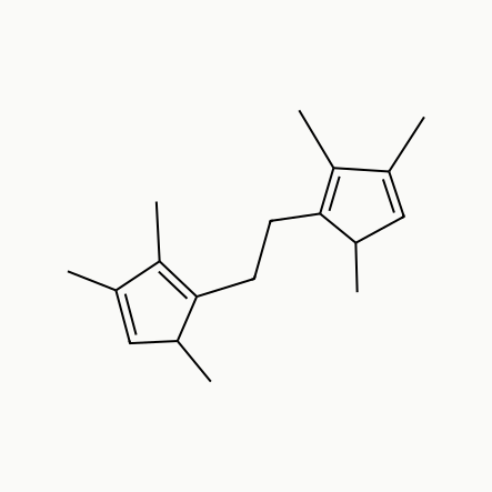 CC1=CC(C)C(CCC2=C(C)C(C)=CC2C)=C1C